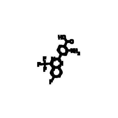 Nc1cc(-c2nc(C(F)(F)F)c3cc(F)ccc3n2)ccc1C(=O)O